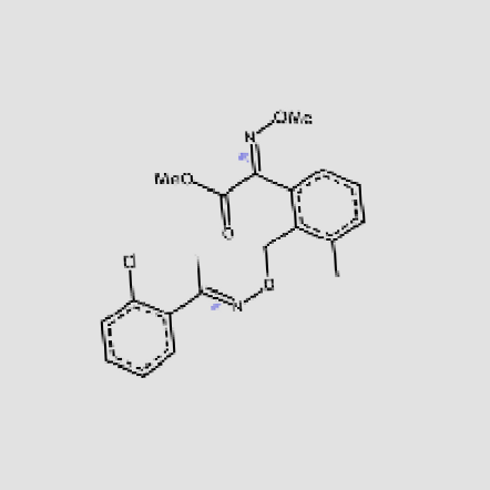 CO/N=C(/C(=O)OC)c1cccc(C)c1CO/N=C(\C)c1ccccc1Cl